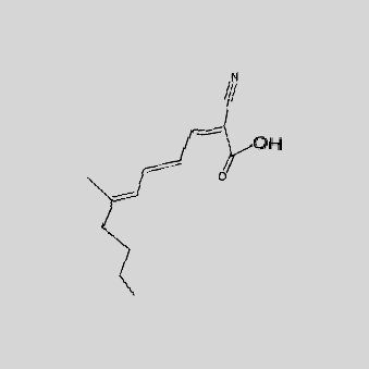 CCCCC(C)=CC=CC=C(C#N)C(=O)O